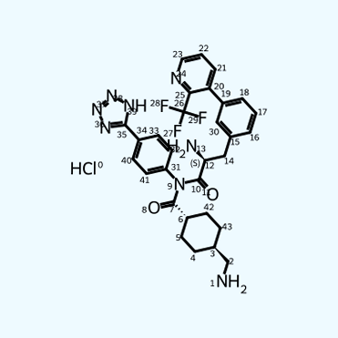 Cl.NC[C@H]1CC[C@H](C(=O)N(C(=O)[C@@H](N)Cc2cccc(-c3cccnc3C(F)(F)F)c2)c2ccc(-c3nnn[nH]3)cc2)CC1